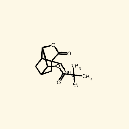 CCC(C)(C)C(=O)OC1C2CC3C1OC(=O)C3(CN)C2